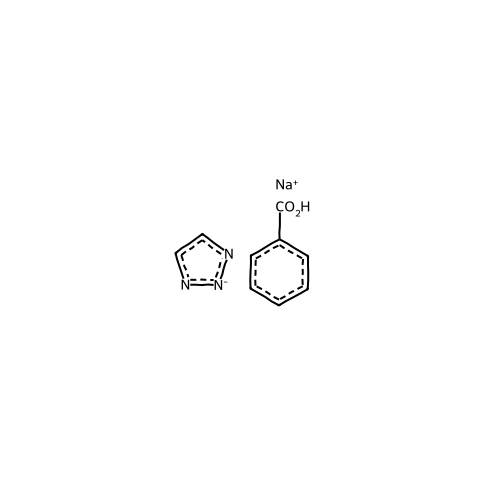 O=C(O)c1ccccc1.[Na+].c1cn[n-]n1